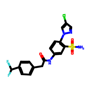 NS(=O)(=O)c1cc(NC(=O)Cc2ccc(C(F)F)cc2)ccc1-n1cc(Cl)cn1